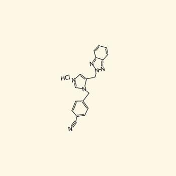 Cl.N#Cc1ccc(Cn2cncc2Cn2nc3ccccc3n2)cc1